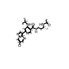 CC(=O)N[C@H](C)CCNC(=O)c1cnc(-c2cnn3cc(Cl)cnc23)cc1NC(C)C